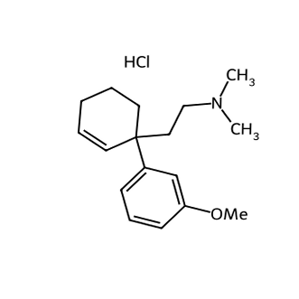 COc1cccc(C2(CCN(C)C)C=CCCC2)c1.Cl